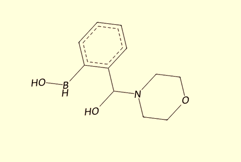 OBc1ccccc1C(O)N1CCOCC1